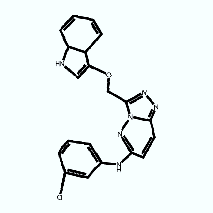 Clc1cccc(Nc2ccc3nnc(COC4=CNC5C=CC=CC45)n3n2)c1